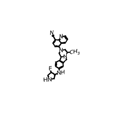 CC1CN(c2ccc(C#N)c3ncccc23)CC2c3ccc(NC4CNCC4F)cc3CN12